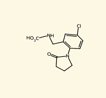 O=C(O)NCc1cc(Cl)ccc1N1CCCC1=O